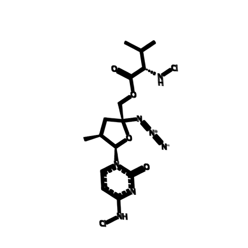 CC(C)[C@H](NCl)C(=O)OC[C@]1(N=[N+]=[N-])C[C@H](C)[C@H](n2ccc(NCl)nc2=O)O1